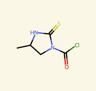 CC1CN(C(=O)Cl)C(=S)N1